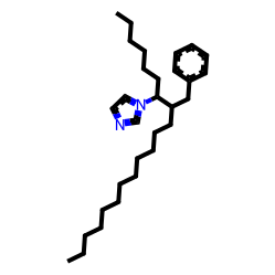 CCCCCCCCCCCCC(Cc1ccccc1)C(CCCCCC)n1ccnc1